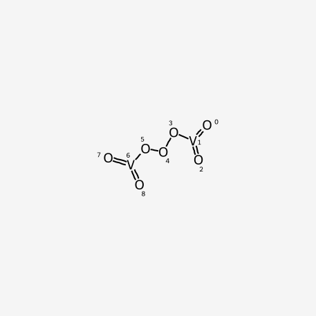 [O]=[V](=[O])[O]O[O][V](=[O])=[O]